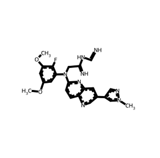 COc1cc(OC)c(F)c(N(CC(=N)NC=N)c2ccc3ncc(-c4cnn(C)c4)cc3n2)c1